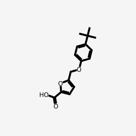 CC(C)(C)c1ccc(OCc2ccc(C(=O)O)o2)cc1